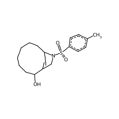 Cc1ccc(S(=O)(=O)N2CC3=CC2CCCCCCC3O)cc1